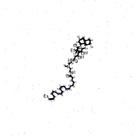 CC/C=C\C/C=C\C/C=C\C/C=C\C/C=C\C/C=C\CCC(=O)NCCN(C)CCNC(=O)C[C@H](O)C[C@@H](O)CC[C@@H]1C2C(=C[C@H](C)CC2OC(=O)C(C)(C)CC)C=C[C@@H]1C